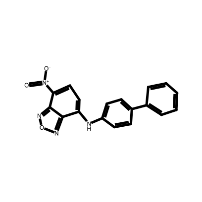 O=[N+]([O-])c1ccc(Nc2ccc(-c3ccccc3)cc2)c2nonc12